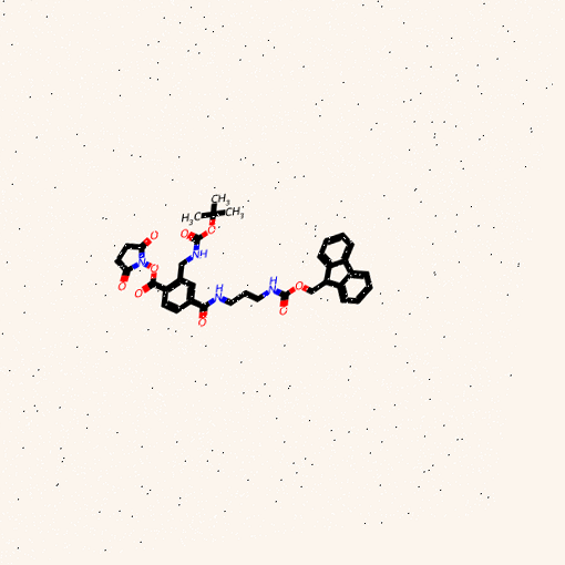 CC(C)(C)OC(=O)NCc1cc(C(=O)NCCCNC(=O)OCC2c3ccccc3-c3ccccc32)ccc1C(=O)ON1C(=O)CCC1=O